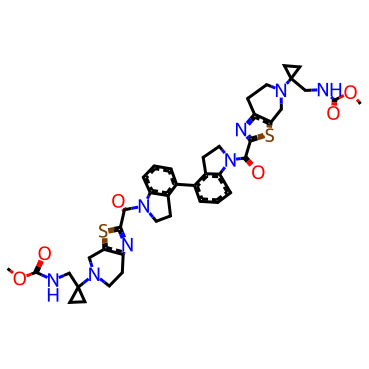 COC(=O)NCC1(N2CCc3nc(C(=O)N4CCc5c(-c6cccc7c6CCN7C(=O)c6nc7c(s6)CN(C6(CNC(=O)OC)CC6)CC7)cccc54)sc3C2)CC1